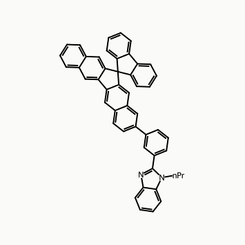 CCCn1c(-c2cccc(-c3ccc4cc5c(cc4c3)C3(c4ccccc4-c4ccccc43)c3cc4ccccc4cc3-5)c2)nc2ccccc21